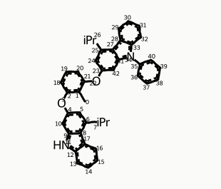 Cc1c(Oc2cc(C(C)C)c3c(c2)[nH]c2ccccc23)cccc1Oc1cc(C(C)C)c2c3ccccc3n(-c3ccccc3)c2c1